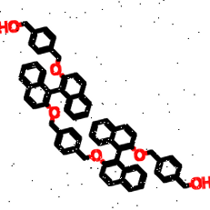 OCc1ccc(COc2ccc3ccccc3c2-c2c(OCc3ccc(COc4ccc5ccccc5c4-c4c(OCc5ccc(CO)cc5)ccc5ccccc45)cc3)ccc3ccccc23)cc1